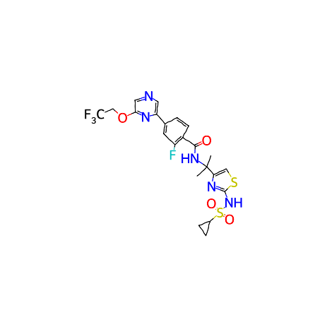 CC(C)(NC(=O)c1ccc(-c2cncc(OCC(F)(F)F)n2)cc1F)c1csc(NS(=O)(=O)C2CC2)n1